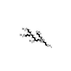 CCCCO[SiH](OCCCC)OCCC(C)CCCN(CCCC)CCCC